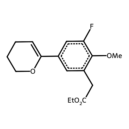 CCOC(=O)Cc1cc(C2=CCCCO2)cc(F)c1OC